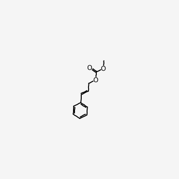 COC(=O)OC/C=C/c1ccccc1